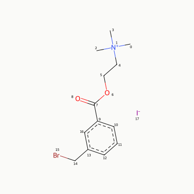 C[N+](C)(C)CCOC(=O)c1cccc(CBr)c1.[I-]